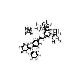 CC(C)(C)c1cc(C=Cc2ccc(N(c3ccccc3)c3ccccc3)cc2)cc(C(C)(C)C)[s+]1.F[B-](F)(F)F